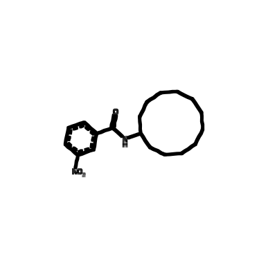 O=C(NC1CCCCCCCCCCC1)c1cccc([N+](=O)[O-])c1